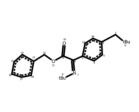 CC(C)(C)Cc1ccc(/C(=N/C(C)(C)C)C(=O)OCc2ccccc2)cc1